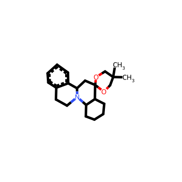 CC1(C)COC2(CC3c4ccccc4CCN3C3CCCCC32)OC1